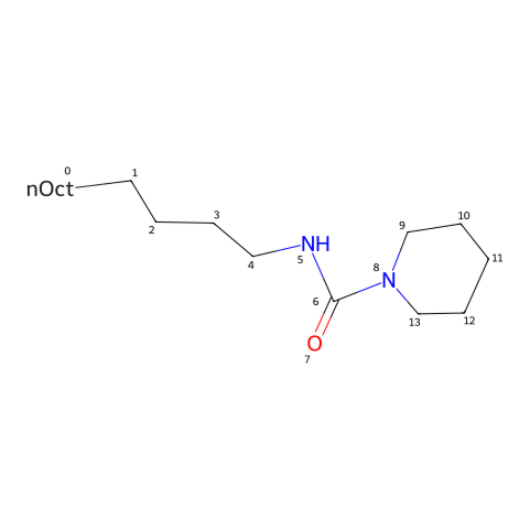 CCCCCCCCCCCCNC(=O)N1CCCCC1